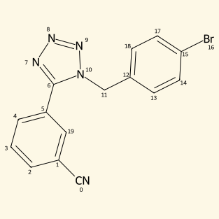 N#Cc1cccc(-c2nnnn2Cc2ccc(Br)cc2)c1